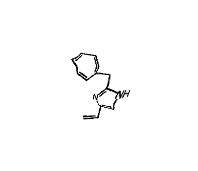 C=Cc1c[nH]c(Cc2ccccc2)n1